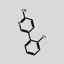 CCc1ccccc1-c1ccc(C#N)nc1